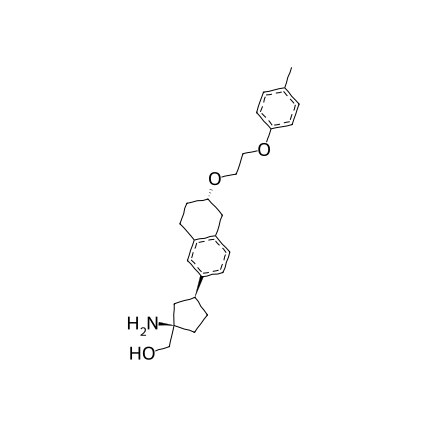 Cc1ccc(OCCO[C@H]2CCc3cc([C@H]4CC[C@](N)(CO)C4)ccc3C2)cc1